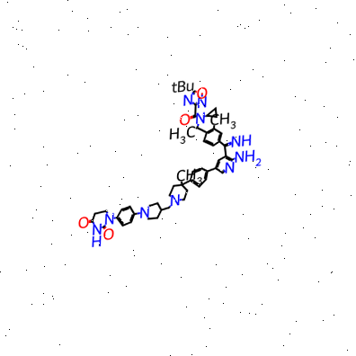 Cc1cc(C(=N)c2cc(-c3ccc(C4(C)CCN(CC5CCN(c6ccc(N7CCC(=O)NC7=O)cc6)CC5)CC4)cc3)cnc2N)ccc1[C@@H](C)N(C(=O)c1noc(C(C)(C)C)n1)C1CC1